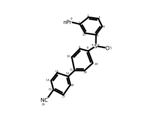 CCCc1cccc([S+]([O-])c2ccc(-c3ccc(C#N)cc3)cc2)c1